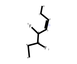 CC/C=C\C(F)C(F)CC